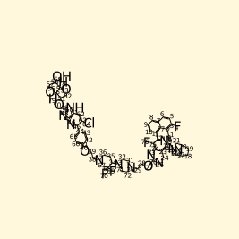 C#Cc1c(F)ccc2cccc(-c3nc(N4CC5CCC(C4)N5)c4cnc(OCCN5CCN(C6CCN(CCOc7ccc(-c8nc9nc(O[C@@H]%10CO[C@H]%11[C@@H]%10OC[C@H]%11O)[nH]c9cc8Cl)cc7)CC6(F)F)CC5)nc4c3F)c12